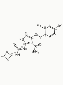 NC(=O)c1c(OCc2ccc(Br)cc2F)nsc1NC(=O)NC1CCC1